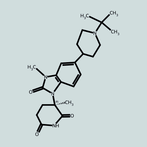 Cn1c(=O)n([C@]2(C)CCC(=O)NC2=O)c2ccc(C3CCN(C(C)(C)C)CC3)cc21